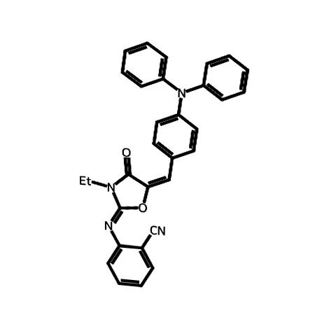 CCN1C(=O)/C(=C\c2ccc(N(c3ccccc3)c3ccccc3)cc2)OC1=Nc1ccccc1C#N